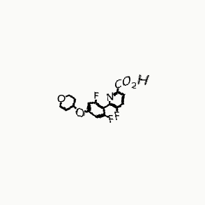 O=C(O)c1ccc(F)c(-c2c(F)cc(OC3CCOCC3)cc2F)n1